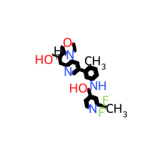 Cc1ccc(NC(O)c2ccnc(C(C)(F)F)c2)cc1-c1cnc2c(c1)N1CCOC[C@@H]1[C@H](CO)C2